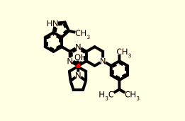 Cc1ccc(C(C)C)cc1N1CCc2nc(-c3cccc4[nH]cc(C)c34)nc(N3C4CCC3CC(O)C4)c2C1